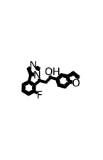 OC(CC1c2c(F)cccc2-c2cncn21)c1ccc2occc2c1